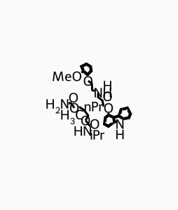 CCCC(C)(COC(N)=O)COC(=O)NC(C)C.COc1ccccc1OCCNCC(O)COc1cccc2[nH]c3ccccc3c12